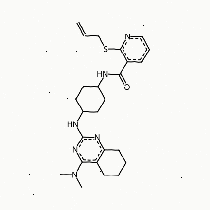 C=CCSc1ncccc1C(=O)NC1CCC(Nc2nc3c(c(N(C)C)n2)CCCC3)CC1